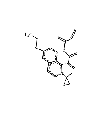 C=CC(=C)OC(=C)C(=C)c1c2ccc(CCC(F)(F)F)cc2cc[n+]1C1(C)CC1